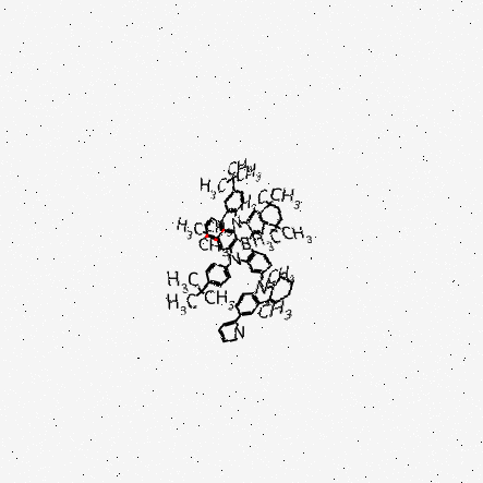 CC(C)(C)c1ccc(N2c3cc(N4c5ccc(-c6ccccn6)cc5C5(C)CCCCC45C)ccc3B3c4cc5c(cc4N(c4ccc(C(C)(C)C)cc4-c4ccccc4)c4cc(C(C)(C)C)cc2c43)C(C)(C)CCC5(C)C)cc1